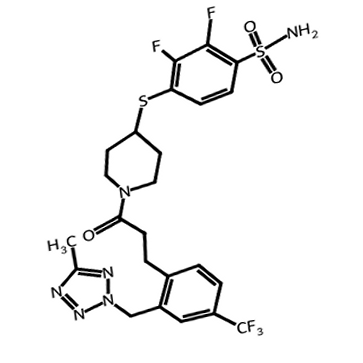 Cc1nnn(Cc2cc(C(F)(F)F)ccc2CCC(=O)N2CCC(Sc3ccc(S(N)(=O)=O)c(F)c3F)CC2)n1